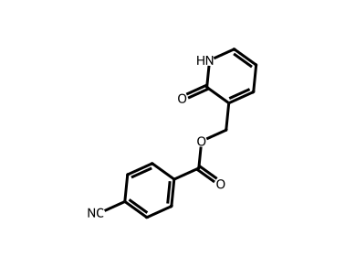 N#Cc1ccc(C(=O)OCc2ccc[nH]c2=O)cc1